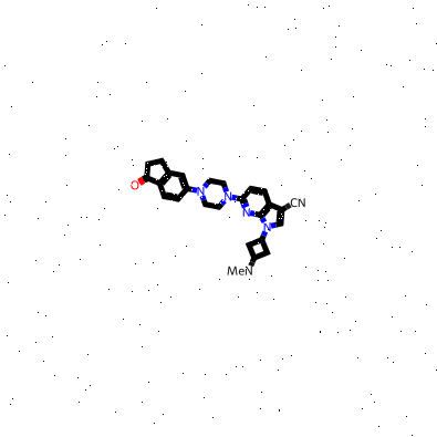 CNC1CC(n2cc(C#N)c3ccc(N4CCN(c5ccc6c(c5)CCC6=O)CC4)nc32)C1